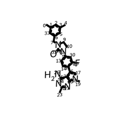 Cc1cc(C)cc(CN2CCN(c3ccc(-c4cn(C)c5nc(C)nc(N)c45)c(F)c3)C2=O)c1